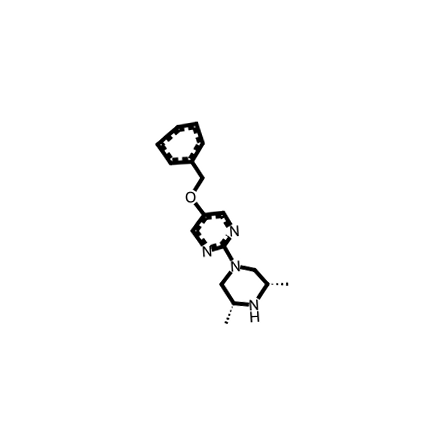 C[C@@H]1CN(c2ncc(OCc3ccccc3)cn2)C[C@H](C)N1